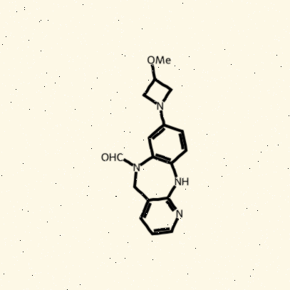 COC1CN(c2ccc3c(c2)N(C=O)Cc2cccnc2N3)C1